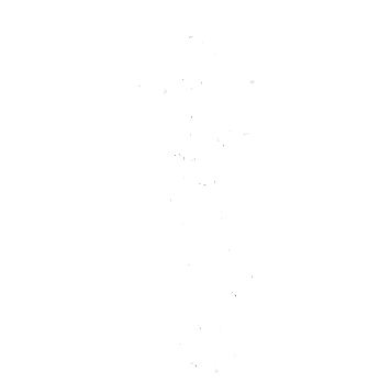 CN([SH]=O)c1ccccc1Nc1nc(Nc2ccc(N3CCN(CC4CCNCC4)CC3)c(F)c2)ncc1Cl